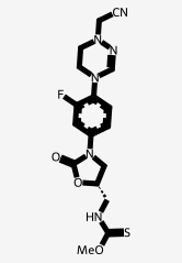 COC(=S)NC[C@H]1CN(c2ccc(N3C=NN(CC#N)CC3)c(F)c2)C(=O)O1